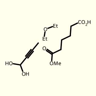 CC#CC(O)O.CCOCC.COC(=O)CCCCC(=O)O